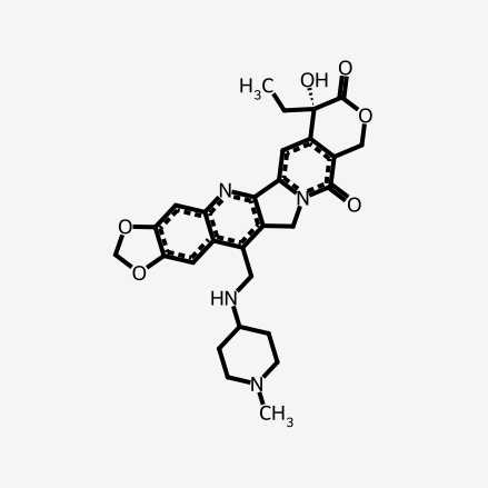 CC[C@@]1(O)C(=O)OCc2c1cc1n(c2=O)Cc2c-1nc1cc3c(cc1c2CNC1CCN(C)CC1)OCO3